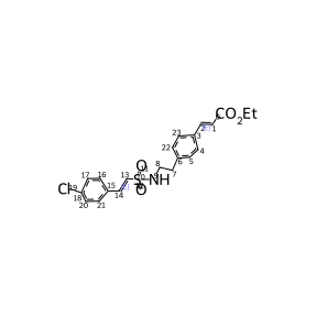 CCOC(=O)/C=C/c1ccc(CCNS(=O)(=O)/C=C/c2ccc(Cl)cc2)cc1